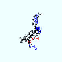 CCN1CCN(Cc2ccc(-c3cc4c(-c5cccc(Cc6ccc(C7CC7)cc6OCCN)c5CO)ccnc4[nH]3)cn2)CC1